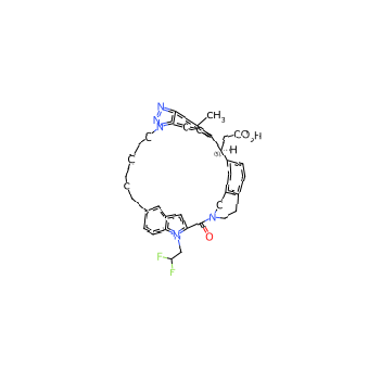 Cc1c2ccc3c1nnn3CCCCCCc1ccc3c(c1)cc(n3CC(F)F)C(=O)N1CCc3ccc(cc3C1)[C@@H]2CC(=O)O